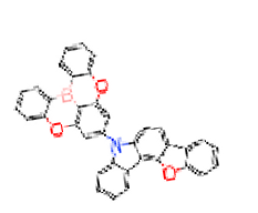 c1ccc2c(c1)Oc1cc(-n3c4ccccc4c4c5oc6ccccc6c5ccc43)cc3c1B2c1ccccc1O3